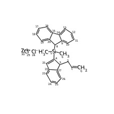 C=CCC1C([Si](C)(C)C2c3ccccc3-c3ccccc32)=Cc2ccccc21.[Cl-].[Cl-].[Zr+2]